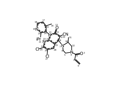 C=CC(=O)N1CCN(c2c(C#N)c(=O)n(-c3c(C)ccnc3C(C)C)c3nc(Cl)c(Cl)cc23)C(C)C1